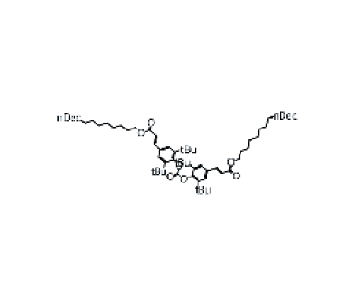 CCCCCCCCCCCCCCCCCCOC(=O)C=Cc1cc(C(C)(C)C)c(OC(=O)Oc2c(C(C)(C)C)cc(C=CC(=O)OCCCCCCCCCCCCCCCCCC)cc2C(C)(C)C)c(C(C)(C)C)c1